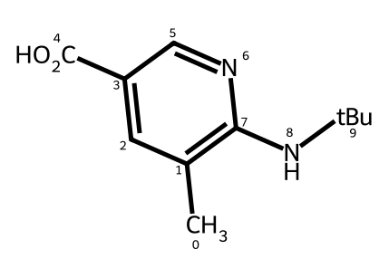 Cc1cc(C(=O)O)cnc1NC(C)(C)C